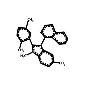 Cc1ccc(C)c(-c2n(-c3cccc4ccccc34)c3cc(C)ccc3[n+]2C)c1